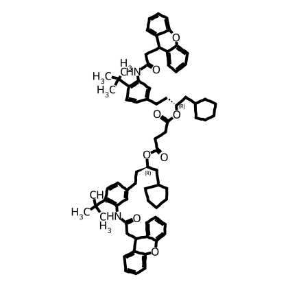 CC(C)(C)c1ccc(CC[C@H](CC2CCCCC2)OC(=O)CCC(=O)O[C@H](CCc2ccc(C(C)(C)C)c(NC(=O)CC3c4ccccc4Oc4ccccc43)c2)CC2CCCCC2)cc1NC(=O)CC1c2ccccc2Oc2ccccc21